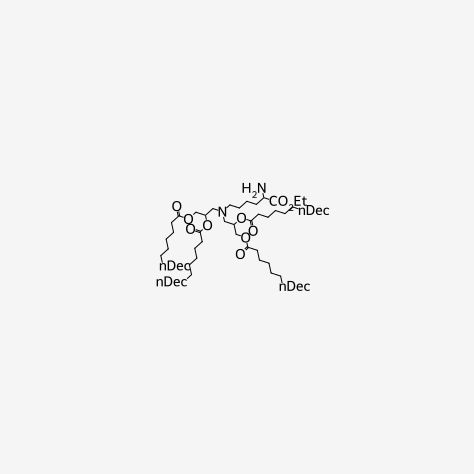 CCCCCCCCCCCCCCCC(=O)OCC(CN(CCCCC(N)C(=O)OCC)CC(COC(=O)CCCCCCCCCCCCCCC)OC(=O)CCCCCCCCCCCCCCC)OC(=O)CCCCCCCCCCCCCCC